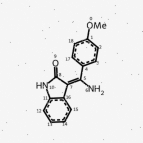 COc1ccc(/C(N)=C2\C(=O)Nc3ccccc32)cc1